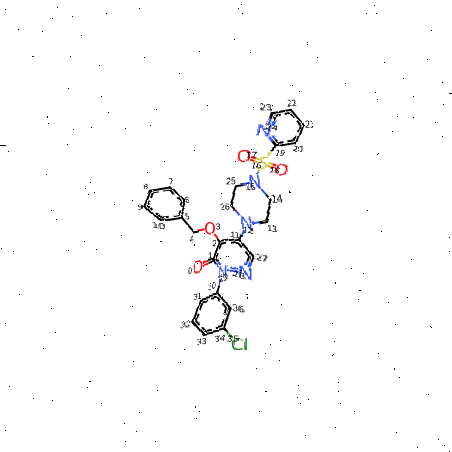 O=c1c(OCc2ccccc2)c(N2CCN(S(=O)(=O)c3ccccn3)CC2)cnn1-c1cccc(Cl)c1